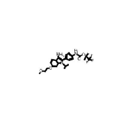 COCCOc1ccc2c(N)c(-c3ccc(NC(=O)OC(C)(C)C(F)(F)F)cc3)n(C(C)C)c2c1